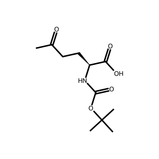 CC(=O)CC[C@H](NC(=O)OC(C)(C)C)C(=O)O